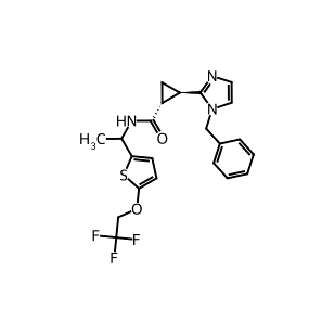 CC(NC(=O)[C@@H]1C[C@H]1c1nccn1Cc1ccccc1)c1ccc(OCC(F)(F)F)s1